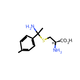 Cc1ccc(C(C)(N)SC[C@H](N)C(=O)O)cc1